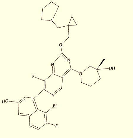 CCc1c(F)ccc2cc(O)cc(-c3ncc4c(N5CCC[C@@](C)(O)C5)nc(OCC5(CN6CCCC6)CC5)nc4c3F)c12